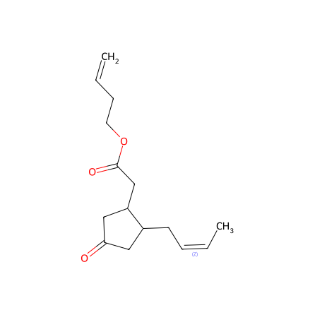 C=CCCOC(=O)CC1CC(=O)CC1C/C=C\C